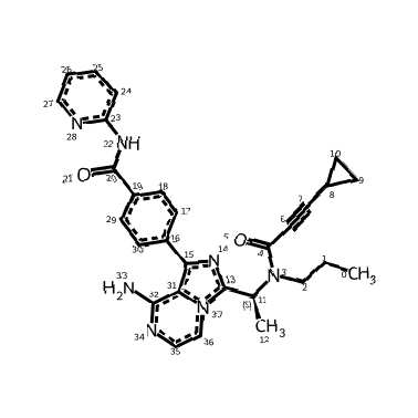 CCCN(C(=O)C#CC1CC1)[C@@H](C)c1nc(-c2ccc(C(=O)Nc3ccccn3)cc2)c2c(N)nccn12